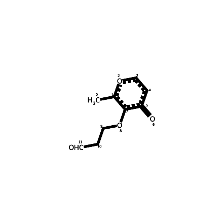 Cc1occc(=O)c1OCCC=O